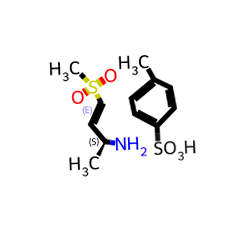 C[C@H](N)/C=C/S(C)(=O)=O.Cc1ccc(S(=O)(=O)O)cc1